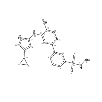 CC(C)(C)NS(=O)(=O)c1cccc(-c2ncc(O)c(Nc3cc(C4CC4)n[nH]3)n2)c1